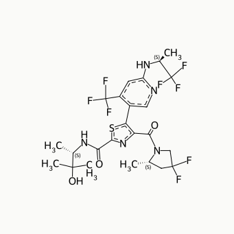 C[C@H](NC(=O)c1nc(C(=O)N2CC(F)(F)C[C@@H]2C)c(-c2cnc(N[C@@H](C)C(F)(F)F)cc2C(F)(F)F)s1)C(C)(C)O